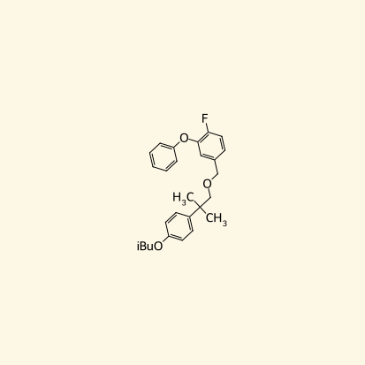 CC(C)COc1ccc(C(C)(C)COCc2ccc(F)c(Oc3ccccc3)c2)cc1